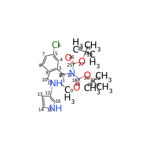 CC[C@H](c1cc(Cl)ccc1CNc1cc[nH]c1)N(C(=O)OC(C)(C)C)C(=O)OC(C)(C)C